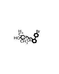 CC1CN(CC(O)Cc2ccccc2-c2ccc(Br)cc2)CC(C)C1O